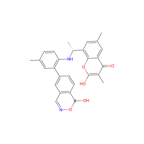 Cc1ccc(N[C@H](C)c2cc(C)cc3c(=O)c(C)c(O)oc23)c(-c2ccc3c(c2)C=NOB3O)c1